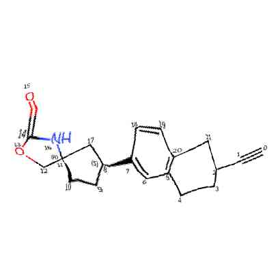 C#CC1CCc2cc([C@H]3CC[C@]4(COC(=O)N4)C3)ccc2C1